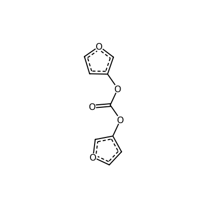 O=C(Oc1ccoc1)Oc1ccoc1